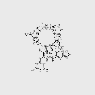 C[C@@H]1C[C@H]2C(=O)OC[C@H](NC(=O)[C@H](Cc3cc(F)cc(F)c3)NC(=O)Nc3ccc4c(c3)OCO4)C(=O)N3C[C@H](O)C[C@H]3C(=O)N3CCOC[C@H]3C(=O)N[C@@H](C)C(=O)N2C1